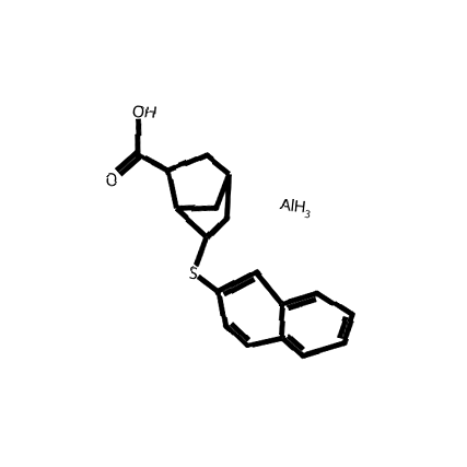 O=C(O)C1CC2CC(Sc3ccc4ccccc4c3)C1C2.[AlH3]